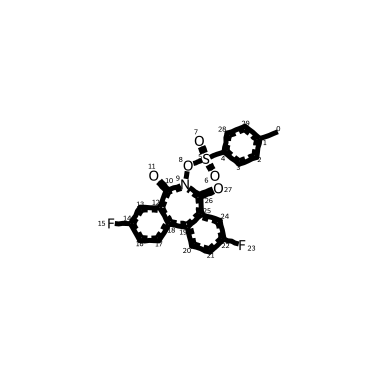 Cc1ccc(S(=O)(=O)On2c(=O)c3cc(F)ccc3c3ccc(F)cc3c2=O)cc1